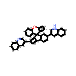 C1=CC2=CC(c3ccc4c(c3)C3(c5ccccc5Oc5ccccc53)c3cc(-c5cnc6ccccc6c5)ccc3-4)=CNC2C=C1